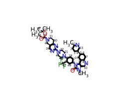 Cc1ccc(-c2ccc3ncc4c(c3c2)n(-c2ccc(N3CCN(c5ncc6c(n5)CCN(C(=O)OC(C)(C)C)C6)CC3)c(C(F)(F)F)c2)c(=O)n4C)cn1